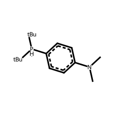 CN(C)c1ccc([PH](C(C)(C)C)C(C)(C)C)cc1